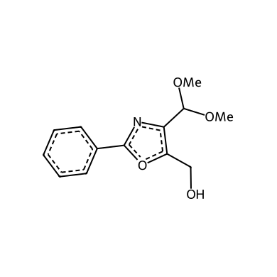 COC(OC)c1nc(-c2ccccc2)oc1CO